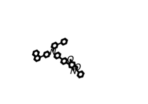 c1ccc(-c2cccc(N(c3ccc(-c4ccc5c(c4)oc4cc6oc(-c7ccccc7)nc6cc45)cc3)c3ccc(-c4cccc5ccccc45)cc3)c2)cc1